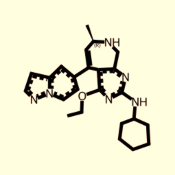 CCOc1nc(NC2CCCCC2)nc2c1C(c1ccn3nccc3c1)=C[C@@H](C)NC2